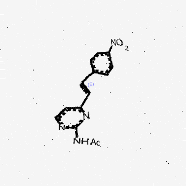 CC(=O)Nc1nccc(/C=C/c2ccc([N+](=O)[O-])cc2)n1